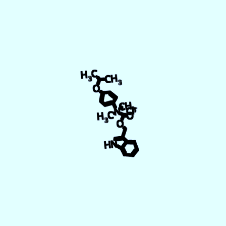 CC(C)Oc1ccc([N+](C)(C)C(=O)OCc2c[nH]c3ccccc23)cc1.[Cl-]